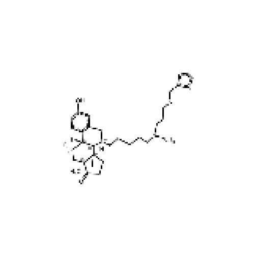 CN(CCCCC[C@@H]1Cc2cc(O)ccc2[C@@H]2[C@@H]1[C@@H]1CCC(=O)[C@@]1(C)C[C@@H]2F)CCCSCc1cccs1